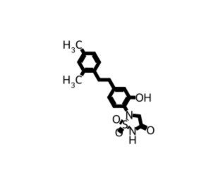 Cc1ccc(CCc2ccc(N3CC(=O)NS3(=O)=O)c(O)c2)c(C)c1